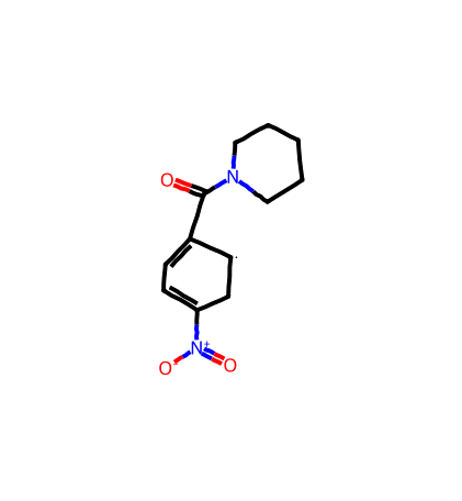 O=C(C1=CC=C([N+](=O)[O-])C[CH]1)N1CCCCC1